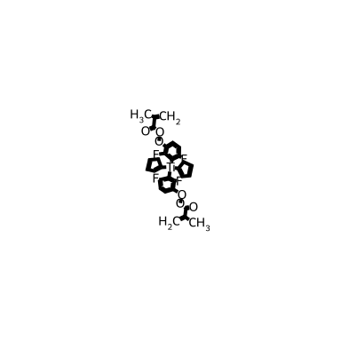 C=C(C)C(=O)OOc1ccc(F)[c]([Ti]([C]2=CC=CC2)([C]2=CC=CC2)[c]2c(F)ccc(OOC(=O)C(=C)C)c2F)c1F